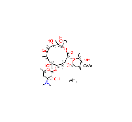 CC[C@H]1OC(=O)[C@H](C)[C@@H](O[C@H]2C[C@@](C)(OC)[C@@H](O)[C@H](C)O2)[C@H](C)[C@@H](O[C@@H]2O[C@H](C)C[C@H](N(C)C)[C@H]2O)[C@](C)(O)C[C@@H](C)C(=O)[C@H](C)[C@@H](O)[C@]1(C)O.[AlH3]